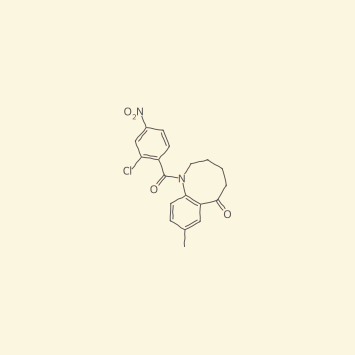 Cc1ccc2c(c1)C(=O)CCCCN2C(=O)c1ccc([N+](=O)[O-])cc1Cl